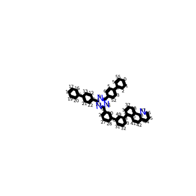 c1ccc(-c2ccc(-c3nc(-c4ccc(-c5ccccc5)cc4)nc(-c4cccc(-c5cccc(-c6cccc7c6ccc6cccnc67)c5)c4)n3)cc2)cc1